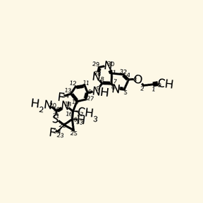 C#CCOc1cnc2c(Nc3ccc(F)c([C@@]4(C)N=C(N)S[C@@]5(CF)C[C@H]54)c3)ncnc2c1